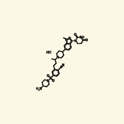 CC(CCc1cc(S(=O)(=O)N2CCC(N)CC2)ccc1C#N)N1CCC(c2ccc3c(N4CCC(=O)NC4=O)nn(C)c3c2)CC1.Cl